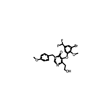 COc1ccc(Cn2cnc(CCO)c(Oc3cc(C(F)F)cc(Br)c3OC)c2=O)cc1